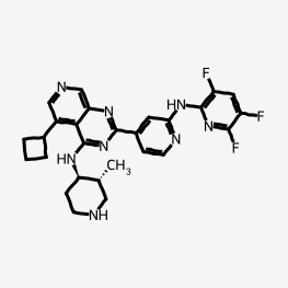 C[C@@H]1CNCC[C@H]1Nc1nc(-c2ccnc(Nc3nc(F)c(F)cc3F)c2)nc2cncc(C3CCC3)c12